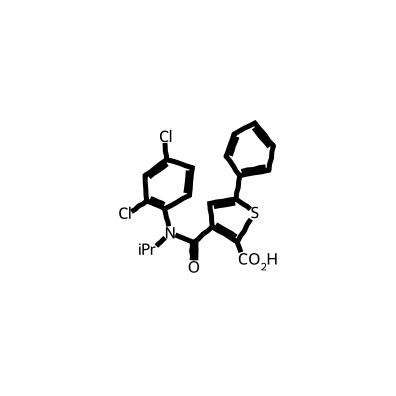 CC(C)N(C(=O)c1cc(-c2ccccc2)sc1C(=O)O)c1ccc(Cl)cc1Cl